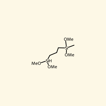 CO[SiH](CCC[Si](C)(OC)OC)OC